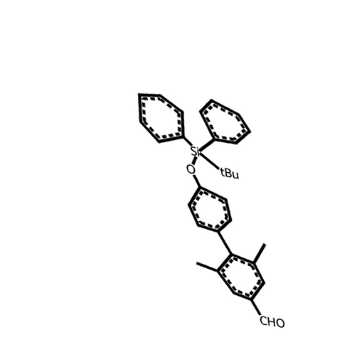 Cc1cc(C=O)cc(C)c1-c1ccc(O[Si](c2ccccc2)(c2ccccc2)C(C)(C)C)cc1